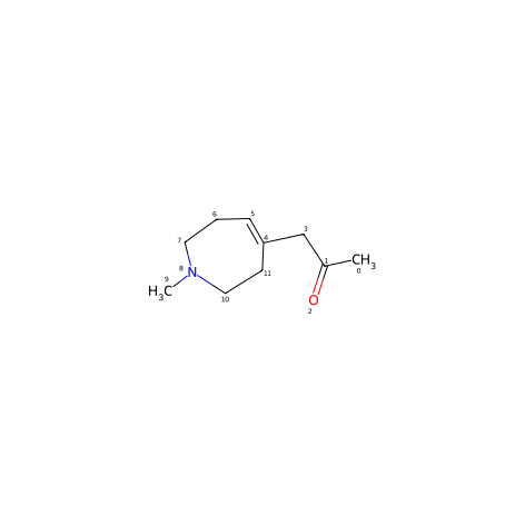 CC(=O)CC1=CCCN(C)CC1